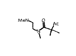 CNCCN(C)C(=O)C(C)(C)C(C)=O